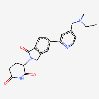 CCN(C)Cc1ccnc(-c2ccc3c(c2)CN(C2CCC(=O)NC2=O)C3=O)c1